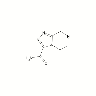 NC(=O)c1nnc2n1CC[N]C2